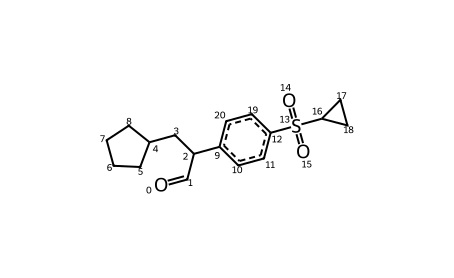 O=CC(CC1CCCC1)c1ccc(S(=O)(=O)C2CC2)cc1